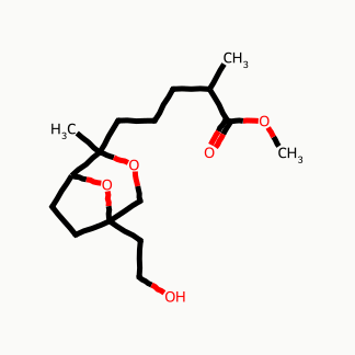 COC(=O)C(C)CCCC1(C)OCC2(CCO)CCC1O2